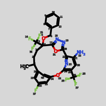 CC1CCC(OCc2ccccc2)(C(F)(F)F)c2nnc(o2)-c2nc(c(C(F)(F)F)cc2N)Oc2cc(F)cc1c2